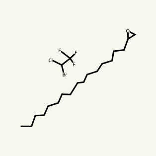 CCCCCCCCCCCCCCCCC1CO1.FC(F)(F)C(Cl)Br